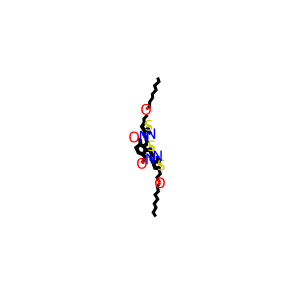 CCCCCCCCOCCc1cc2c(nc3c4sc5c6c(ccc(c(=O)n23)c46)c(=O)n2c3cc(CCOCCCCCCCC)sc3nc52)s1